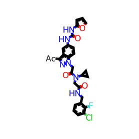 CC(=O)c1nn(CC(=O)N(CC(=O)NCc2cccc(Cl)c2F)C2CC2)c2ccc(NC(=O)Nc3ccco3)cc12